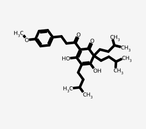 COc1ccc(CCC(=O)C2=C(O)C(CCC(C)C)=C(O)C(CCC(C)C)(CCC(C)C)C2=O)cc1